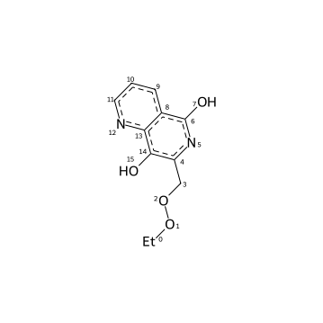 CCOOCc1nc(O)c2cccnc2c1O